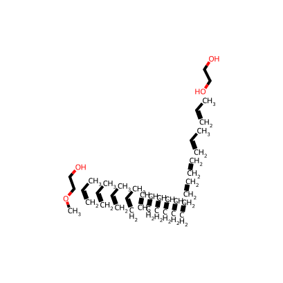 C=C.C=C.C=C.C=C.C=C.C=C.C=C.C=C.C=CC.C=CC.C=CC.C=CC.C=CC.C=CC.COCCO.OCCO